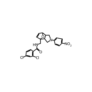 O=C(NCC12C=CC(O1)C1CN(c3ccc([N+](=O)[O-])cc3)CC12)c1ccc(Cl)cc1Cl